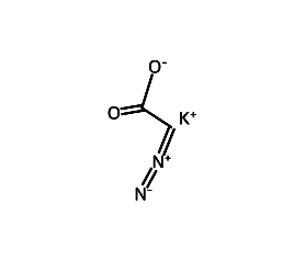 [K+].[N-]=[N+]=CC(=O)[O-]